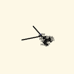 CCCCCCCCCCCCC/C=C/[C@@H](O)[C@H](CO[C@@H]1OC(CO)[C@@H](O[C@@H]2OC(CO)[C@H](O[C@@H]3OC(CO)[C@H](O)[C@H](O)C3NC(C)=O)[C@H](O[C@@H]3OC(CO)[C@@H](O)[C@H](O)C3NC(C)=O)C2O)[C@H](O)C1O)NC(=O)CCCCCCCCCCCCCCCCCCCCCCC